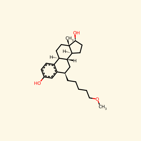 COCCCCC[C@@H]1C[C@@H]2[C@H](CC[C@]3(C)[C@@H](O)CC[C@@H]23)c2ccc(O)cc21